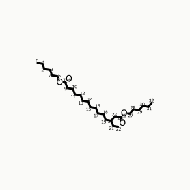 CCCCCCOC(=O)CCCCCCCCCCCC(CC)CC(=O)OCCCCCC